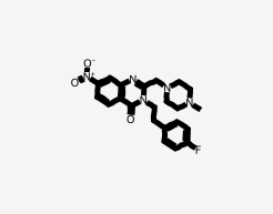 CN1CCN(Cc2nc3cc([N+](=O)[O-])ccc3c(=O)n2CCc2ccc(F)cc2)CC1